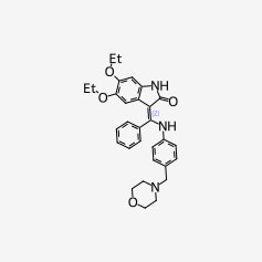 CCOc1cc2c(cc1OCC)/C(=C(/Nc1ccc(CN3CCOCC3)cc1)c1ccccc1)C(=O)N2